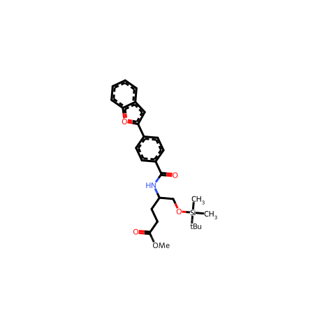 COC(=O)CCC(CO[Si](C)(C)C(C)(C)C)NC(=O)c1ccc(-c2cc3ccccc3o2)cc1